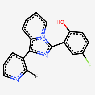 CCc1ncccc1-c1nc(-c2cc(F)ccc2O)n2ccccc12